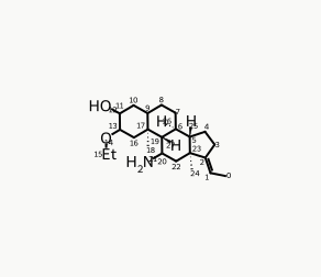 C/C=C1\CC[C@H]2[C@@H]3CCC4CC(O)C(OCC)C[C@]4(C)[C@H]3C(N)C[C@]12C